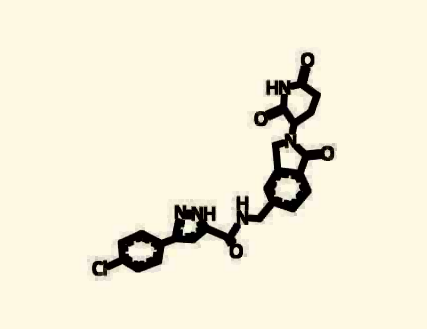 O=C1CCC(N2Cc3cc(CNC(=O)c4cc(-c5ccc(Cl)cc5)n[nH]4)ccc3C2=O)C(=O)N1